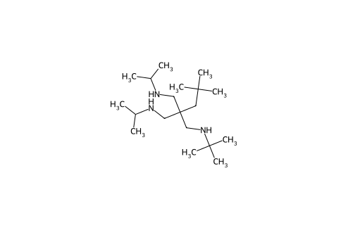 CC(C)NCC(CNC(C)C)(CNC(C)(C)C)CC(C)(C)C